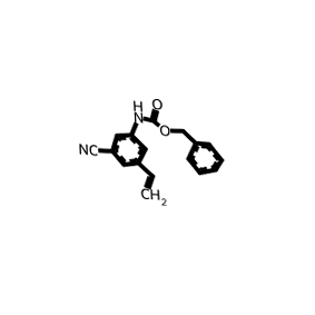 C=Cc1cc(C#N)cc(NC(=O)OCc2ccccc2)c1